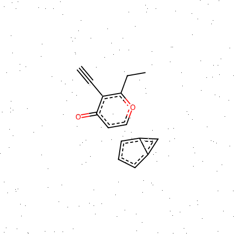 C#Cc1c(CC)occc1=O.c1cc2cc-2c1